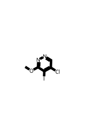 COc1nncc(Cl)c1I